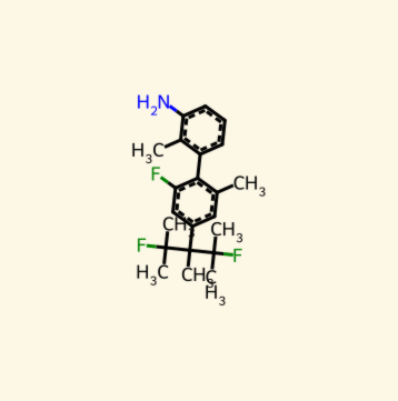 Cc1cc(C(C)(C(C)(C)F)C(C)(C)F)cc(F)c1-c1cccc(N)c1C